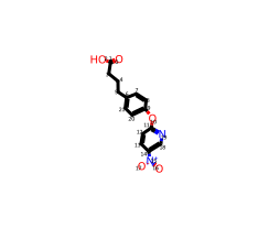 O=C(O)CCCc1ccc(Oc2ccc([N+](=O)[O-])cn2)cc1